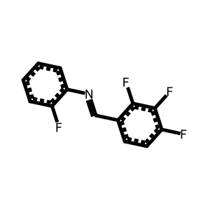 Fc1ccccc1N=Cc1ccc(F)c(F)c1F